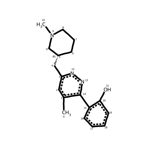 Cc1cc(C[C@H]2CCCN(C)C2)nnc1-c1ccccc1O